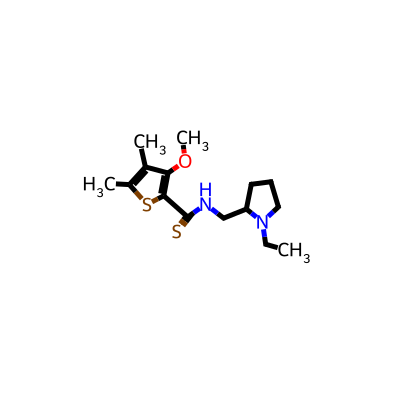 CCN1CCCC1CNC(=S)c1sc(C)c(C)c1OC